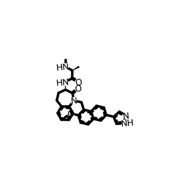 CN[C@@H](C)C(=O)N[C@H]1CCc2ccccc2N(Cc2c(OC)ccc3cc(-c4cn[nH]c4)ccc23)C1=O